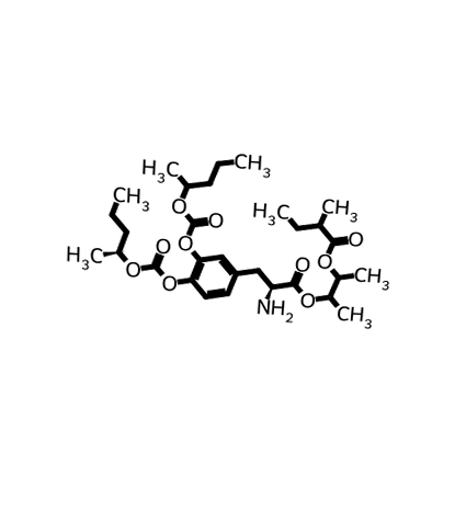 CCCC(C)OC(=O)Oc1cc(C[C@H](N)C(=O)OC(C)C(C)OC(=O)C(C)CC)ccc1OC(=O)O[C@@H](C)CCC